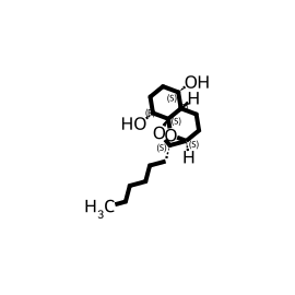 CCCCCC[C@@H]1O[C@]23O[C@H]1CC[C@H]2[C@@H](O)CC[C@H]3O